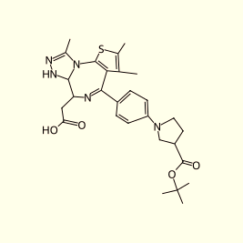 CC1=NNC2C(CC(=O)O)N=C(c3ccc(N4CCC(C(=O)OC(C)(C)C)C4)cc3)c3c(sc(C)c3C)N12